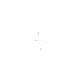 CC(C)(N)CO.[W]